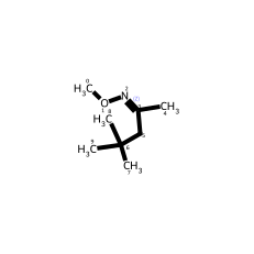 CO/N=C(/C)CC(C)(C)C